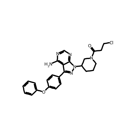 Nc1ncnc2c1c(-c1ccc(Oc3ccccc3)cc1)nn2C1CCCN(C(=O)CCCl)C1